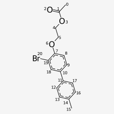 CC(=O)OCCOc1ccc(-c2ccc(C)cc2)cc1Br